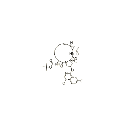 COc1cnc(O[C@H]2CN3C(=O)[C@@H](NC(=O)OC(C)(C)C)CCCCC/C=C\[C@@H]4C[C@@]4(C(C)=O)NC(=O)[C@@H]3[C@@H]2C)c2cc(Cl)ccc12